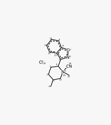 CC1CCC(c2noc3ccccc23)[N+](C)(C#N)C1.[Cl-]